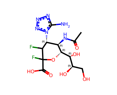 CC(=O)N[C@H]1[C@H]([C@H](O)[C@H](O)CO)OC(F)(C(=O)O)C(F)[C@@H]1n1nnnc1N